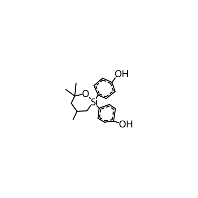 CC1CC(C)(C)O[Si](c2ccc(O)cc2)(c2ccc(O)cc2)C1